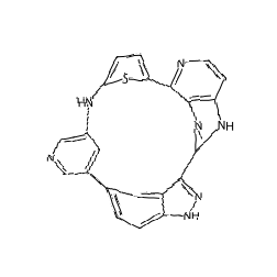 c1cc2[nH]c3nc2c(n1)c1ccc([nH]c2cncc(c2)c2ccc4[nH]nc3c4c2)s1